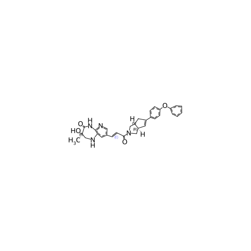 C[C@@]1(O)CNc2cc(/C=C/C(=O)N3C[C@H]4CC(c5ccc(Oc6ccccc6)cc5)=C[C@H]4C3)cnc2NC1=O